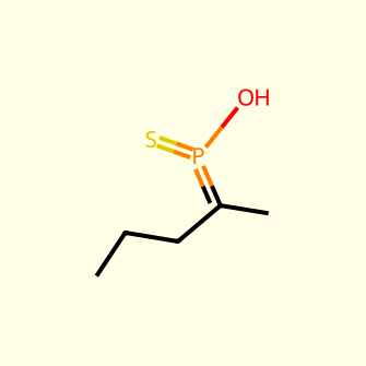 CCCC(C)=P(O)=S